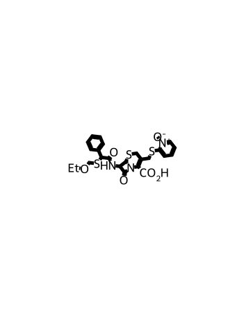 CCOCSC(C(=O)NC1C(=O)N2C(C(=O)O)=C(CSc3cccc[n+]3[O-])CSC12)c1ccccc1